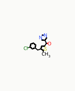 Cc1sc(C(=O)c2cncnc2)cc1Cc1cccc(Cl)c1